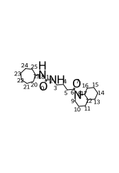 O=C(NCCCC(=O)N1CCCC2CCCCC21)NC1CCCCCC1